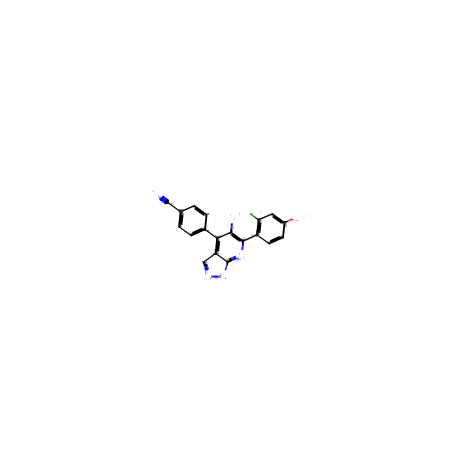 N#Cc1ccc(-c2c(N)c(-c3ccc(O)cc3F)nc3[nH]ncc23)cc1